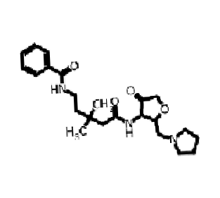 CC(C)(CCNC(=O)c1ccccc1)CC(=O)NC1C(=O)COC1CN1CCCC1